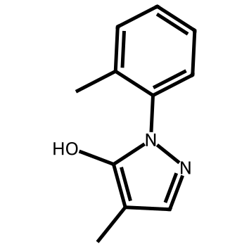 Cc1ccccc1-n1ncc(C)c1O